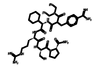 CC(C)C[C@H](NC(=O)[C@H](CCCNC(=N)N)NC(=O)[C@@H](NC(=O)C(Cc1ccc(C(=N)N)cc1)C(=O)N(CC(C)C)CC(C)C)C1CCCCC1)C(=O)N1CCC[C@H]1C(N)=O